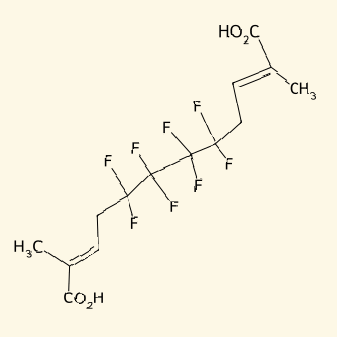 C/C(=C\CC(F)(F)C(F)(F)C(F)(F)C(F)(F)C/C=C(\C)C(=O)O)C(=O)O